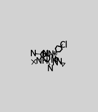 CC(C)(C)CNc1c(C#N)cnc2c(N[C@@H](c3ccc(Cl)cc3)c3cn(C4CC4)nn3)cc(C#N)cc12